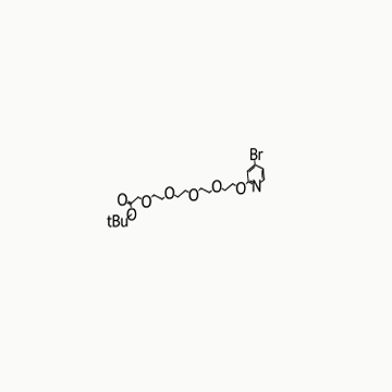 CC(C)(C)OC(=O)COCCOCCOCCOCCOc1cc(Br)ccn1